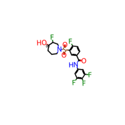 O=C(Nc1cc(F)c(F)c(F)c1)c1ccc(F)c(S(=O)(=O)N2CCC[C@@H](O)C(F)C2)c1